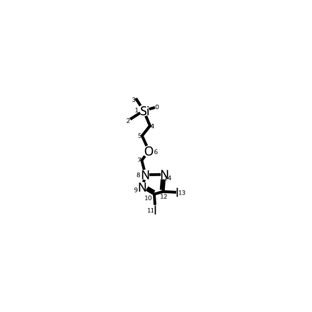 C[Si](C)(C)CCOCn1nc(I)c(I)n1